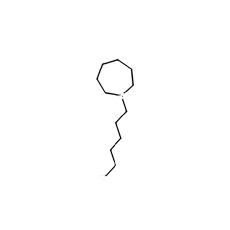 ClCCCCCN1CCCCCC1